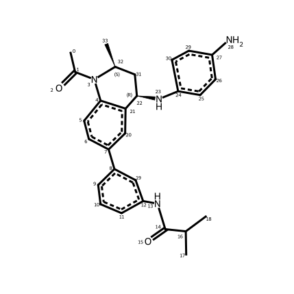 CC(=O)N1c2ccc(-c3cccc(NC(=O)C(C)C)c3)cc2[C@H](Nc2ccc(N)cc2)C[C@@H]1C